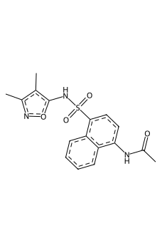 CC(=O)Nc1ccc(S(=O)(=O)Nc2onc(C)c2C)c2ccccc12